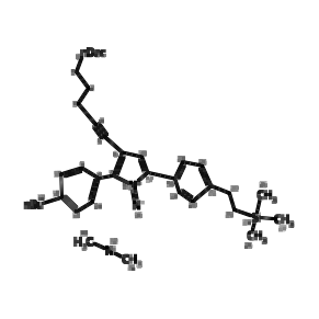 CCCCCCCCCCCCCC#CC1=C(c2ccc(CCCC)cc2)[N+](=[N-])C(c2ccc(CC[Si](C)(C)C)cc2)=C1.[CH3][Ni][CH3]